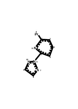 CC(C)c1cccc(-n2nccn2)n1